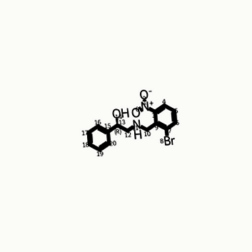 O=[N+]([O-])c1cccc(Br)c1CNC[C@H](O)c1ccccc1